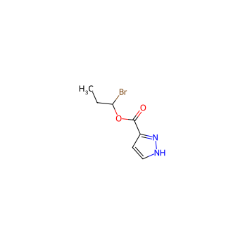 CCC(Br)OC(=O)c1cc[nH]n1